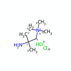 CC(C)(N)C[N+](C)(C)C.Cl.[Cl-]